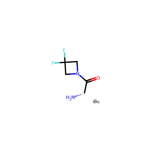 CC[C@H](C)[C@H](N)C(=O)N1CC(F)(F)C1